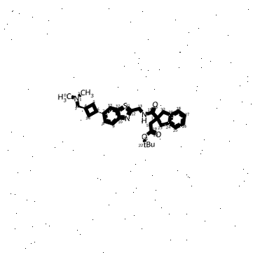 CN(C)C[C@H]1C[C@H](c2ccc3nc(CNC(=O)C4(CC(=O)OC(C)(C)C)Cc5ccccc5C4)sc3c2)C1